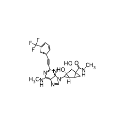 CNC(=O)C12CC1[C@H]1C(n3cnc4c(NC)nc(C#Cc5cccc(C(F)(F)F)c5)nc43)[C@@]1(O)[C@@H]2O